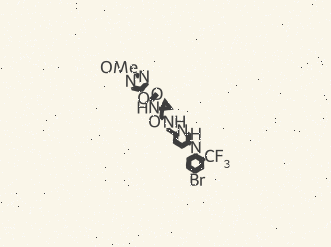 COc1ncc(OC(=O)NC2(C(=O)NCc3ccc(Nc4ccc(Br)cc4C(F)(F)F)cn3)CC2)cn1